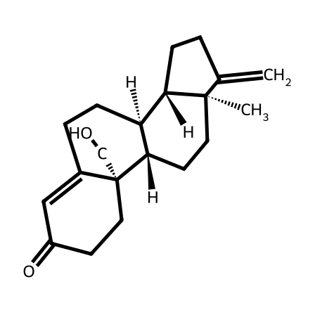 C=C1CC[C@H]2[C@@H]3CCC4=CC(=O)CC[C@]4(CO)[C@H]3CC[C@]12C